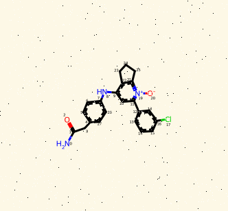 NC(=O)Cc1ccc(Nc2cc(-c3cccc(Cl)c3)[n+]([O-])c3c2CCC3)cc1